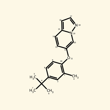 Cc1cc(C(C)(C)C)ccc1Oc1ccc2ccnn2c1